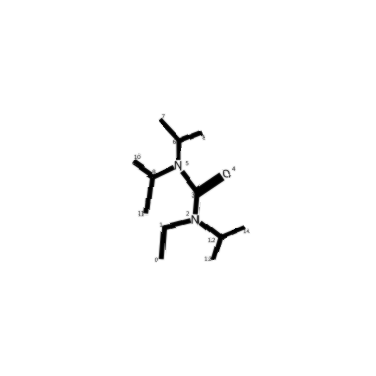 CCN(C(=O)N(C(C)C)C(C)C)C(C)C